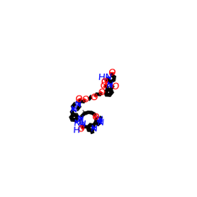 Cc1cc2cc(n1)-c1cnn(C)c1OCCC[C@@H](C)CN1/C(=N/C2=O)Nc2ccc(CN3CCN(C(=O)COCCOCCOc4cccc5c4C(=O)N(C4CCC(=O)NC4=O)C5=O)CC3)cc21